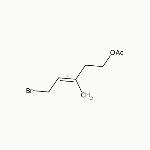 CC(=O)OCC/C(C)=C/CBr